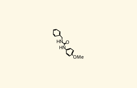 COc1ccc(NC(=O)NCc2ccccc2)cc1